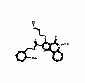 CCCCn1c(=O)c2c(OCCOCC)c(C(=O)NCc3ccccc3OC)sc2c2ccccc21